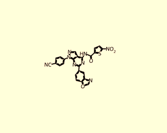 N#Cc1ccc(-n2ncc3c(NC(=O)c4ccc([N+](=O)[O-])s4)nc(-c4ccc5ocnc5c4)nc32)cc1